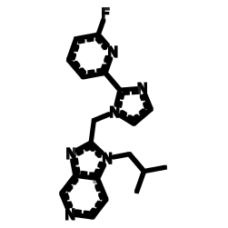 CC(C)Cn1c(Cn2ccnc2-c2cccc(F)n2)nc2cnccc21